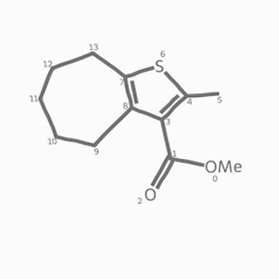 COC(=O)c1c(C)sc2c1CCCCC2